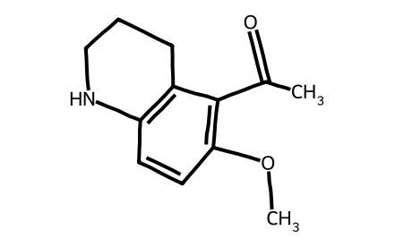 COc1ccc2c(c1C(C)=O)CCCN2